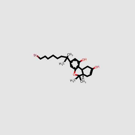 CC(C)(CCCCCCBr)c1cc(O)c2c(c1)OC(C)(C)[C@H]1CC=C(O)CC21